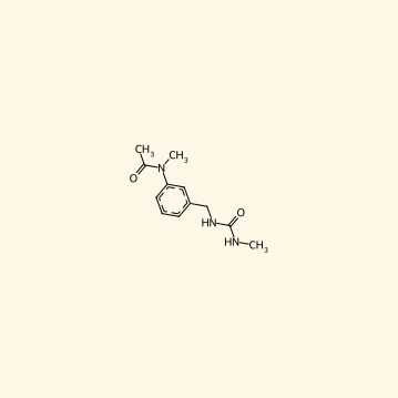 CNC(=O)NCc1cccc(N(C)C(C)=O)c1